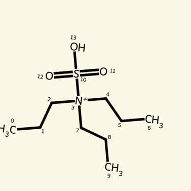 CCC[N+](CCC)(CCC)S(=O)(=O)O